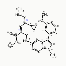 CN/C=C(\C=C(/CNc1ccc2c(c1)c(-c1cccc(OC)c1)cn2C)C(=O)OC)C1CC1